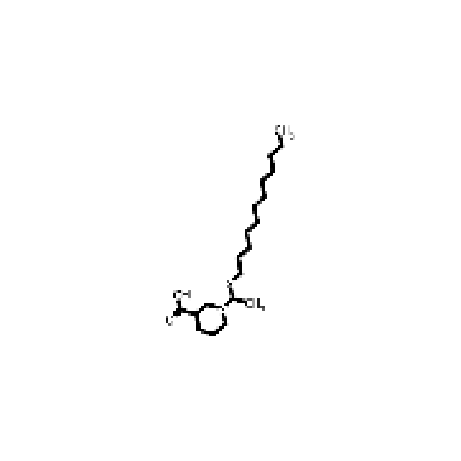 CCCCCCCCCCCCSC(C)N1CCCC(C(=O)O)C1